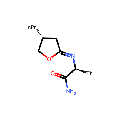 CCC[C@H]1CO/C(=N\[C@@H](CC)C(N)=O)C1